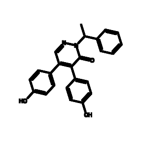 CC(c1ccccc1)n1ncc(-c2ccc(O)cc2)c(-c2ccc(O)cc2)c1=O